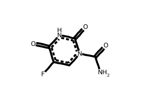 NC(=O)n1cc(F)c(=O)[nH]c1=O